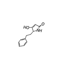 O=C1C=C(O)C(CCc2ccccc2)N1